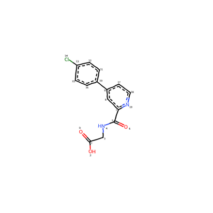 O=C(O)CNC(=O)c1cc(-c2ccc(Cl)cc2)ccn1